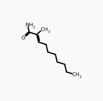 CCCCCCC/C=C(\C)C(N)=O